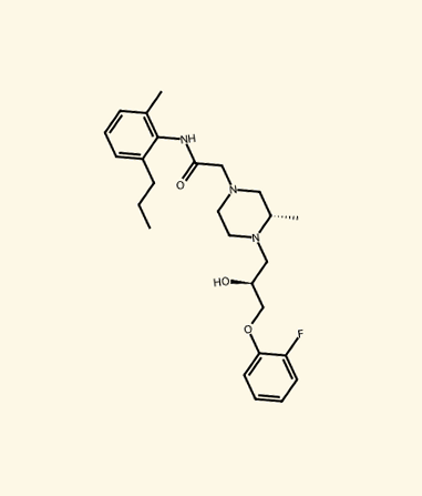 CCCc1cccc(C)c1NC(=O)CN1CCN(C[C@H](O)COc2ccccc2F)[C@@H](C)C1